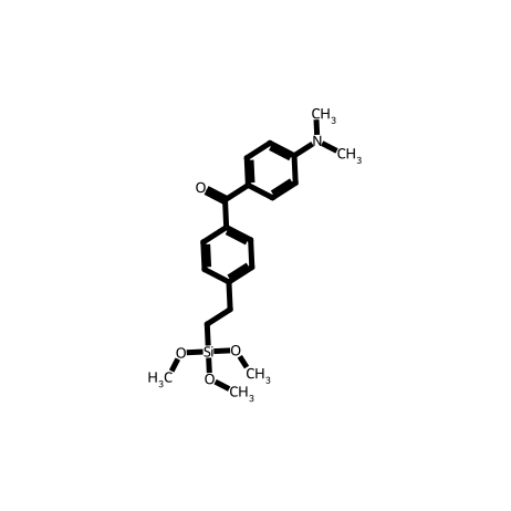 CO[Si](CCc1ccc(C(=O)c2ccc(N(C)C)cc2)cc1)(OC)OC